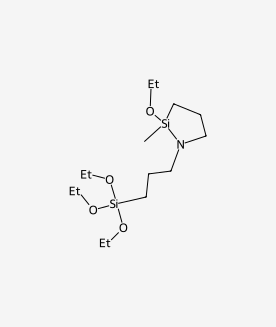 CCO[Si](CCCN1CCC[Si]1(C)OCC)(OCC)OCC